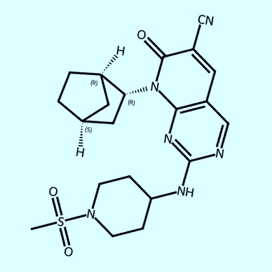 CS(=O)(=O)N1CCC(Nc2ncc3cc(C#N)c(=O)n([C@@H]4C[C@H]5CC[C@@H]4C5)c3n2)CC1